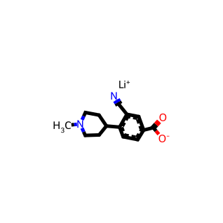 CN1CCC(c2ccc(C(=O)[O-])cc2C#N)CC1.[Li+]